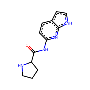 O=C(Nc1ccc2cc[nH]c2n1)C1CCCN1